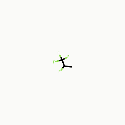 C[C](F)C(F)(F)F